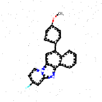 COc1ccc(-c2cc3c(nc4cc(F)ccn43)c3ccccc23)cc1